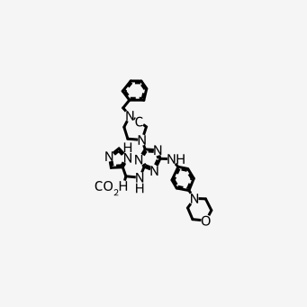 O=C(O)C(Nc1nc(Nc2ccc(N3CCOCC3)cc2)nc(N2CCN(Cc3ccccc3)CC2)n1)c1cnc[nH]1